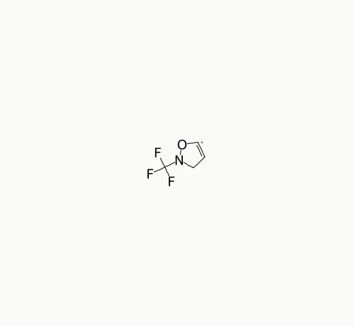 FC(F)(F)N1CC=[C]O1